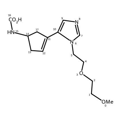 COCCOCCn1cncc1C1=CCC(NC(=O)O)C1